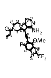 C=CC(=O)N1Cc2c(C#Cc3c(F)cc4c(nc(C(F)(F)F)n4C)c3OC)c3c(N)ncnc3n2C[C@H]1C